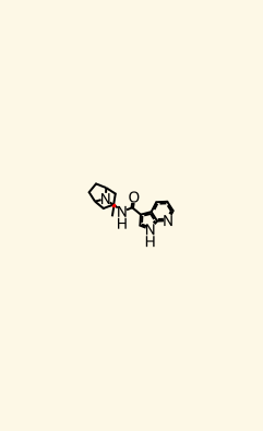 CCN1C2CCC1CC(NC(=O)c1c[nH]c3ncccc13)C2